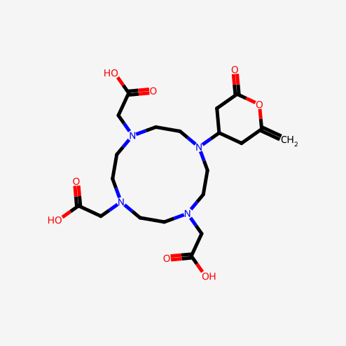 C=C1CC(N2CCN(CC(=O)O)CCN(CC(=O)O)CCN(CC(=O)O)CC2)CC(=O)O1